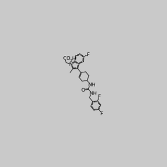 Cc1c(C2=CCC(NC(=O)NCc3ccc(F)cc3F)CC2)c2cc(F)ccc2n1CC(=O)O